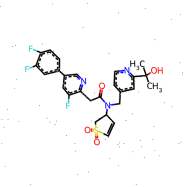 CC(C)(O)c1cc(CN(C(=O)Cc2ncc(-c3ccc(F)c(F)c3)cc2F)C2C=CS(=O)(=O)C2)ccn1